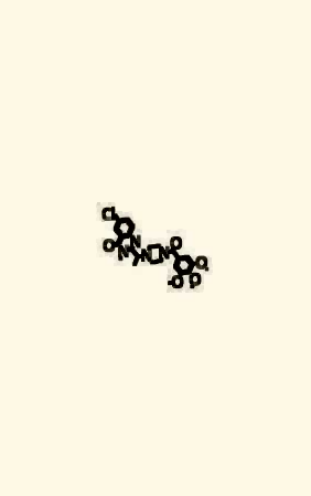 COc1cc(C(=O)N2CCN(C(C)c3nc4ccc(Cl)cc4c(=O)n3C)CC2)cc(OC)c1OC